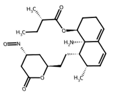 CC[C@H](C)C(=O)O[C@H]1CCC=C2C=C[C@H](C)[C@H](CC[C@@H]3C[C@@H](N=O)CC(=O)O3)[C@]21N